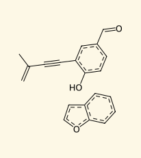 C=C(C)C#Cc1cc(C=O)ccc1O.c1ccc2occc2c1